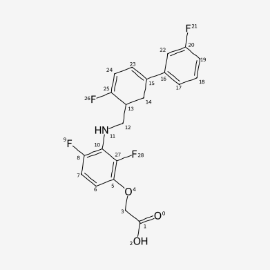 O=C(O)COc1ccc(F)c(NCC2CC(c3cccc(F)c3)=CC=C2F)c1F